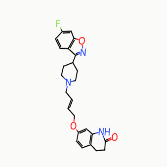 O=C1CCc2ccc(OCC=CCN3CCC(c4noc5cc(F)ccc45)CC3)cc2N1